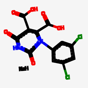 O=C(O)c1c(C(=O)O)n(-c2cc(Cl)cc(Cl)c2)c(=O)[nH]c1=O.[NaH]